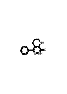 O=c1[nH]nc(-c2ccccc2)c2c1NCCC2